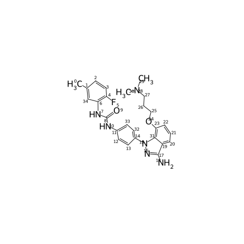 Cc1ccc(F)c(NC(=O)Nc2ccc(-n3nc(N)c4cccc(OCCCN(C)C)c43)cc2)c1